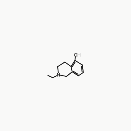 CCN1CCc2c(O)cccc2C1